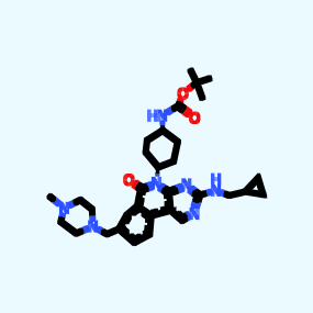 CN1CCN(Cc2ccc3c(c2)c(=O)n([C@H]2CC[C@H](NC(=O)OC(C)(C)C)CC2)c2nc(NCC4CC4)ncc32)CC1